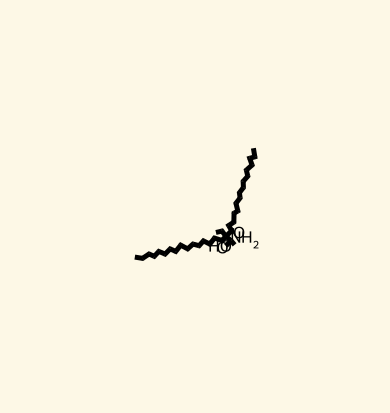 CCCCCCCCCCCCCCCC(=O)C(CC)(C(=O)CCCCCCCCCCCCCCC)C(C)(N)O